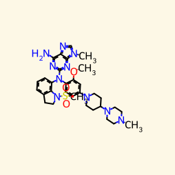 COc1cc(N2CCC(N3CCN(C)CC3)CC2)ccc1N(c1nc(N)c2ncn(C)c2n1)c1cccc2c1N(S(C)(=O)=O)CC2